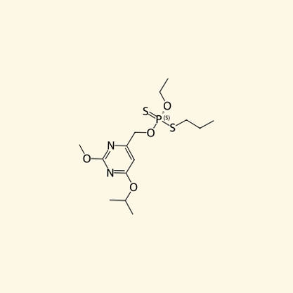 CCCS[P@@](=S)(OCC)OCc1cc(OC(C)C)nc(OC)n1